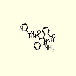 NC(=O)c1ccccc1C(C(=O)N/N=C/c1cccnc1)c1n[nH]c(=O)c2ccccc12